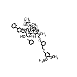 COC(=O)N[C@H](C(=O)NN(Cc1ccc(-c2ccccn2)cc1)C[C@H](O)[C@H](Cc1ccccc1)NC(=O)[C@@H](NC(=O)N(C)CCOc1cccc(CCCc2ccc(OC)c(OC)c2)c1)C(C)(C)C)C(C)(C)C